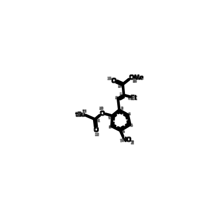 CC/C(=C\c1ccc([N+](=O)[O-])cc1OC(=O)C(C)(C)C)C(=O)OC